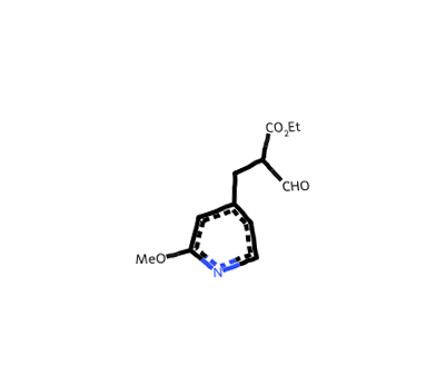 CCOC(=O)C(C=O)Cc1ccnc(OC)c1